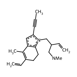 C=CC1=C(C)c2cc(C#CC)n(CC(C=C)CNC)c2CC1